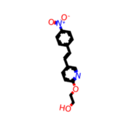 O=[N+]([O-])c1ccc(/C=C/c2ccc(OCCO)nc2)cc1